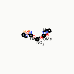 COc1cc2c(cc1OCc1cc(COc3cc(N(C)P)c(C(=O)N4CCC5=C4C#CCC5)cc3OC)cc([N+](=O)[O-])c1)N=C[C@@H]1CC3=C(C=CCC3)N1C2=O